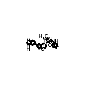 Cc1nc(Nc2ccccc2)c(C)c(N2CCOc3ccc(-c4ccc5nc[nH]c5c4)cc3C2)n1